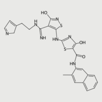 Cc1cc2ccccc2cc1NC(=O)c1sc(Nc2snc(O)c2C(=N)NCCC2=CC=NC2)nc1O